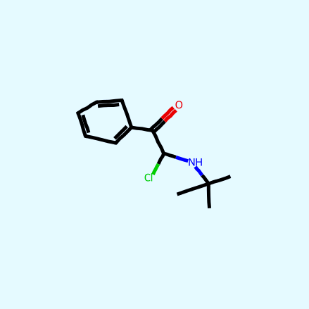 CC(C)(C)NC(Cl)C(=O)c1ccccc1